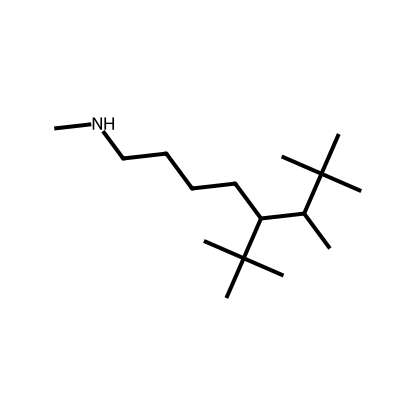 CNCCCCC(C(C)C(C)(C)C)C(C)(C)C